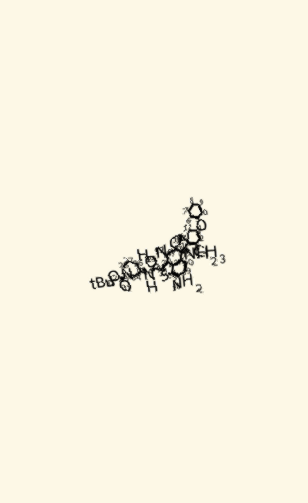 Cc1cc(Oc2ccccc2)cnc1[C@@]1(N)C(=O)[C@H](N)c2c(C(=O)N[C@@H]3CCCN(C(=O)OC(C)(C)C)C3)sc3c(N)ccc1c23